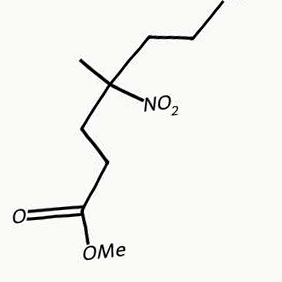 COC(=O)CCC(C)(CCC(C)=O)[N+](=O)[O-]